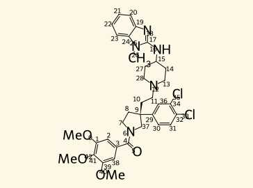 COc1cc(C(=O)N2CC[C@](CCN3CCC(Nc4nc5ccccc5n4C)CC3)(c3ccc(Cl)c(Cl)c3)C2)cc(OC)c1OC